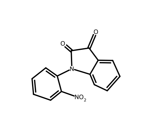 O=C1C(=O)N(c2ccccc2[N+](=O)[O-])c2ccccc21